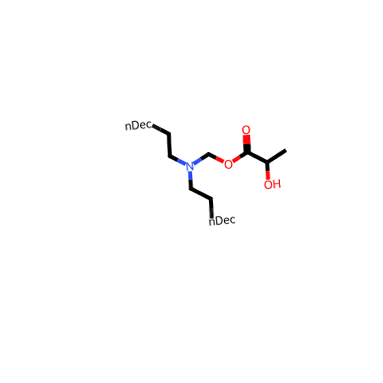 CCCCCCCCCCCCN(CCCCCCCCCCCC)COC(=O)C(C)O